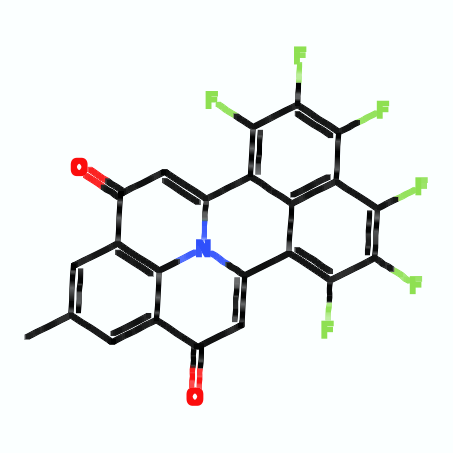 Cc1cc2c(=O)cc3c4c(F)c(F)c(F)c5c(F)c(F)c(F)c(c54)c4cc(=O)c(c1)c2n34